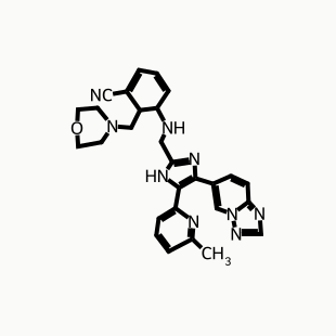 Cc1cccc(-c2[nH]c(CNC3C=CC=C(C#N)C3CN3CCOCC3)nc2-c2ccc3ncnn3c2)n1